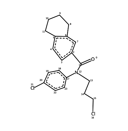 O=C(c1ccc2c(c1)CCCC2)N(CCCCl)c1ccc(Cl)cc1